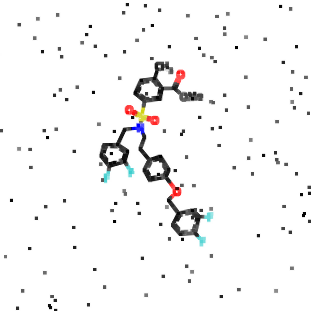 COC(=O)c1cc(S(=O)(=O)N(CCc2ccc(OCc3ccc(F)c(F)c3)cc2)Cc2ccc(F)c(F)c2)ccc1C